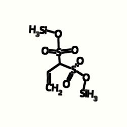 C=CC(S(=O)(=O)O[SiH3])S(=O)(=O)O[SiH3]